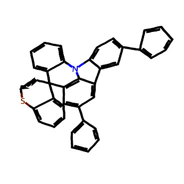 c1ccc(-c2ccc3c(c2)c2cc(-c4ccccc4)cc4c2n3-c2ccccc2C42c3ccccc3Sc3ccccc32)cc1